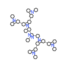 c1ccc(-c2nc(-c3cccc(-n4c5ccc(-c6ccc7c(c6)c6ccccc6n7-c6ccccc6)cc5c5cc(-c6ccc7c(c6)c6ccccc6n7-c6ccccc6)ccc54)c3)cc(-c3ccc(-n4c5ccc(-c6ccc7c(c6)c6ccccc6n7-c6ccccc6)cc5c5cc(-c6ccc7c(c6)c6ccccc6n7-c6ccccc6)ccc54)c4ccccc34)n2)cc1